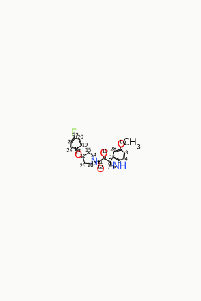 COc1ccc2[nH]cc(C(=O)C(=O)N3CCC(Oc4ccc(F)cc4)CC3)c2c1